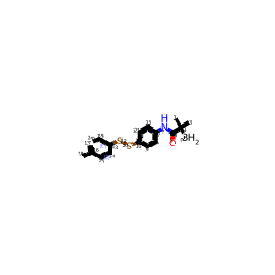 BC(C)(C)C(=O)Nc1ccc(SSC(/C=C\C(=C)C)=C/C)cc1